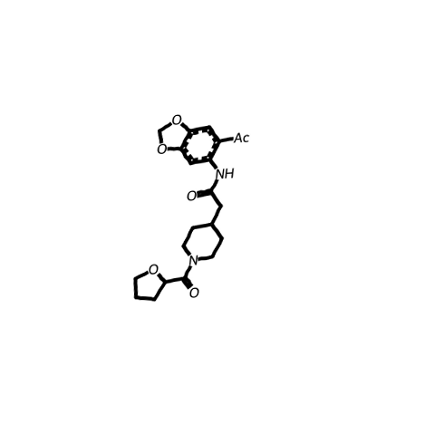 CC(=O)c1cc2c(cc1NC(=O)CC1CCN(C(=O)C3CCCO3)CC1)OCO2